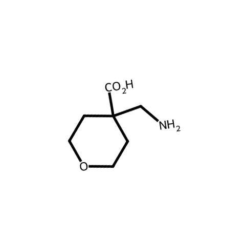 NCC1(C(=O)O)CCOCC1